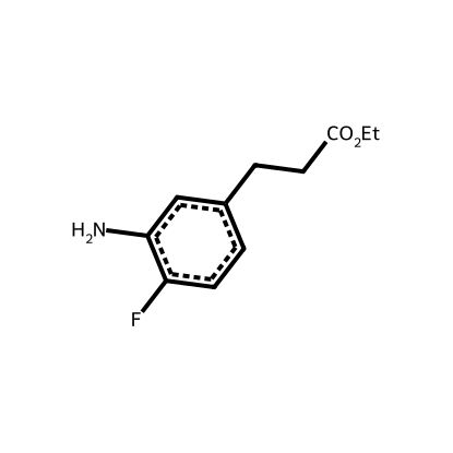 CCOC(=O)CCc1ccc(F)c(N)c1